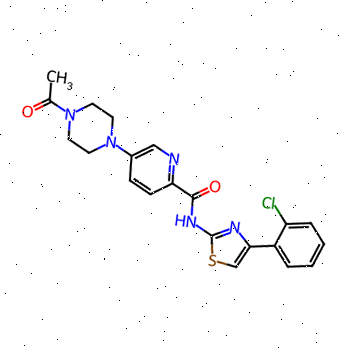 CC(=O)N1CCN(c2ccc(C(=O)Nc3nc(-c4ccccc4Cl)cs3)nc2)CC1